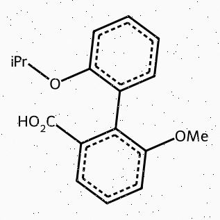 COc1cccc(C(=O)O)c1-c1ccccc1OC(C)C